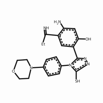 CCC(=N)c1cc(-c2nnc(S)n2-c2ccc(N3CCOCC3)cc2)c(O)cc1N